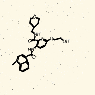 Cc1ccc(C(=O)Nc2ccc(OCCO)nc2C(=O)NCC2CCOCC2)c2ccccc12